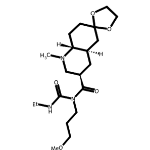 CCNC(=O)N(CCCOC)C(=O)[C@@H]1C[C@@H]2CC3(CC[C@H]2N(C)C1)OCCO3